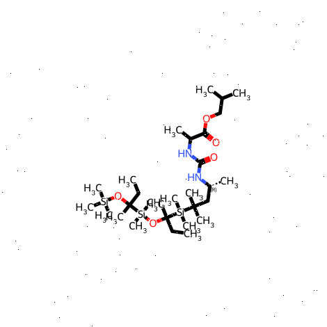 CCC(C)(O[Si](C)(C)C)[Si](C)(C)OC(C)(CC)[Si](C)(C)C(C)(C)C[C@@H](C)NC(=O)NC(C)C(=O)OCC(C)C